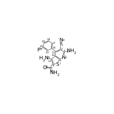 N#Cc1c(N)nc2sc(C(N)=O)c(N)c2c1-c1cccc(F)c1